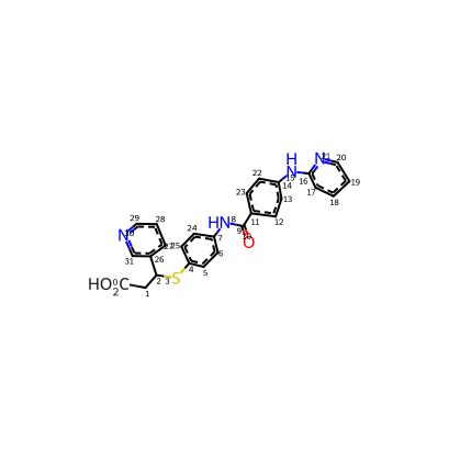 O=C(O)CC(Sc1ccc(NC(=O)c2ccc(Nc3ccccn3)cc2)cc1)c1cccnc1